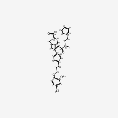 COc1cc(Cl)ccc1OCCCc1ccc(C2=C(C(=O)N(C)CCc3ccccc3)C3CN(C(C)=O)CC(C2)N3)cc1